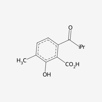 Cc1ccc(C(=O)C(C)C)c(C(=O)O)c1O